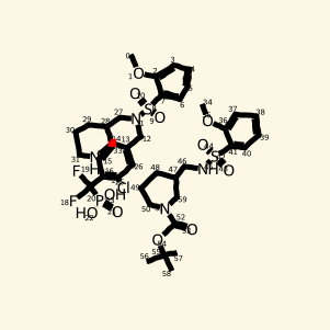 COc1ccccc1S(=O)(=O)N(Cc1ccc(C(F)(F)P(=O)(O)O)c(Cl)c1)CC1CCCNC1.COc1ccccc1S(=O)(=O)NCC1CCCN(C(=O)OC(C)(C)C)C1